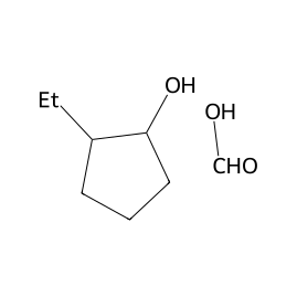 CCC1CCCC1O.O=CO